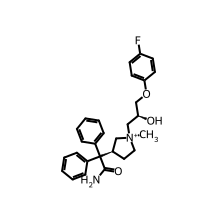 C[N+]1(C[C@H](O)COc2ccc(F)cc2)CC[C@@H](C(C(N)=O)(c2ccccc2)c2ccccc2)C1